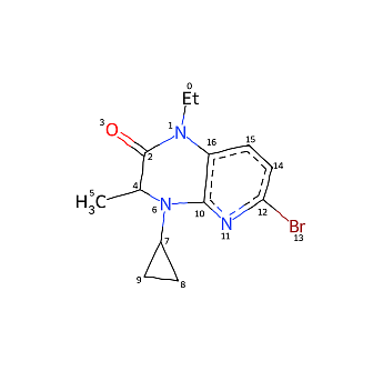 CCN1C(=O)C(C)N(C2CC2)c2nc(Br)ccc21